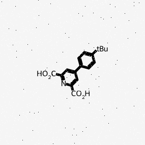 CC(C)(C)c1ccc(-c2cc(C(=O)O)nc(C(=O)O)c2)cc1